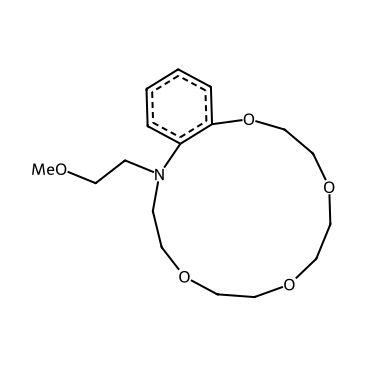 COCCN1CCOCCOCCOCCOc2ccccc21